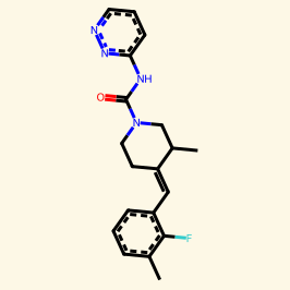 Cc1cccc(/C=C2\CCN(C(=O)Nc3cccnn3)CC2C)c1F